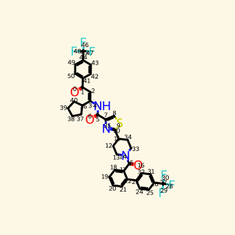 O=C(/C=C(/NC(=O)c1csc(C2CCN(C(=O)c3ccccc3-c3ccc(C(F)(F)F)cc3)CC2)n1)C1CCCC1)c1ccc(C(F)(F)F)cc1